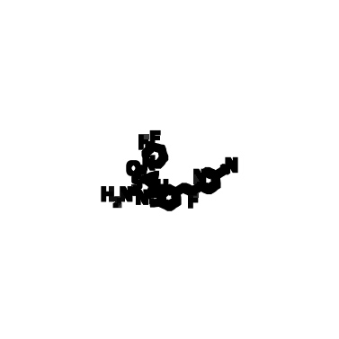 N#Cc1ccc(/C(F)=C/c2ccc3c(c2)[C@@]2(C3)N=C(N)S[C@@]3(C(=O)N4CCCC(F)(F)C4)C[C@H]32)nc1